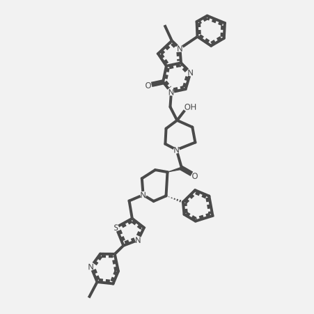 Cc1ccc(-c2ncc(CN3CC[C@@H](C(=O)N4CCC(O)(Cn5cnc6c(cc(C)n6-c6ccccc6)c5=O)CC4)[C@H](c4ccccc4)C3)s2)cn1